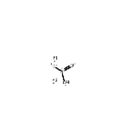 O=[N+]([O-])O.[Pd].[Pt]